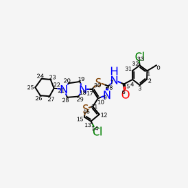 Cc1ccc(C(=O)Nc2nc(-c3cc(Cl)cs3)c(N3CCN(C4CCCCC4)CC3)s2)cc1Cl